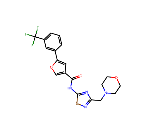 O=C(Nc1nc(CN2CCOCC2)ns1)c1coc(-c2cccc(C(F)(F)F)c2)c1